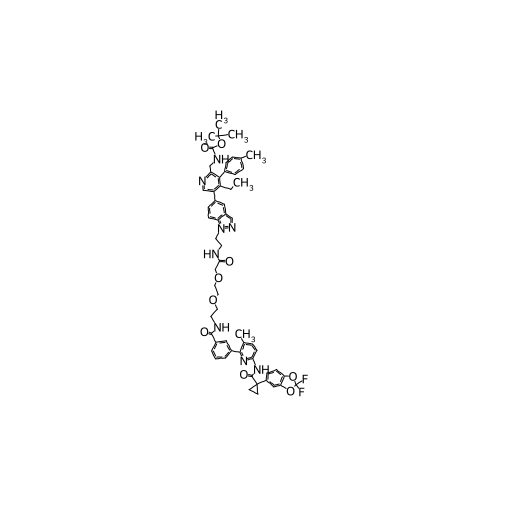 CCc1c(-c2ccc3c(cnn3CCNC(=O)COCCOCCNC(=O)c3cccc(-c4nc(NC(=O)C5(c6ccc7c(c6)OC(F)(F)O7)CC5)ccc4C)c3)c2)cnc(CNC(=O)OC(C)(C)C)c1-c1ccc(C)cc1